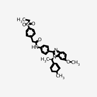 CCS(=O)(=O)c1ccc(CC(=O)Nc2ccc(-c3nc4ccc(OC)cc4n3[C@H](C)C3=CCC(C)C=C3)cc2)cc1